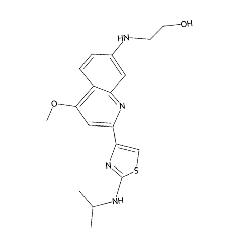 COc1cc(-c2csc(NC(C)C)n2)nc2cc(NCCO)ccc12